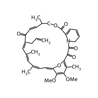 C=CC\C1=C/C(C)=C/C(C)=C\C=C2\OC(=C(C)C(OC)=C2OC)C(=O)C(=O)N2CC=CC=C2C(=O)OCC(C)/C=C/C1=O